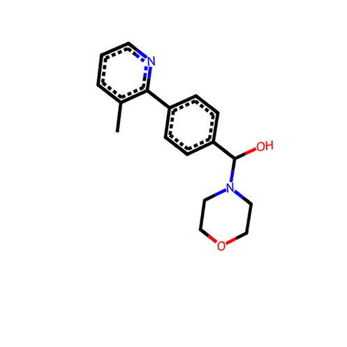 Cc1cccnc1-c1ccc(C(O)N2CCOCC2)cc1